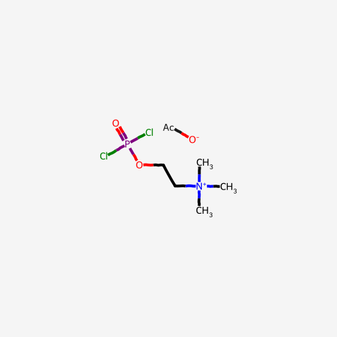 CC(=O)[O-].C[N+](C)(C)CCOP(=O)(Cl)Cl